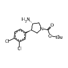 CC(C)(C)OC(=O)N1C[C@@H](N)[C@H](c2ccc(Cl)c(Cl)c2)C1